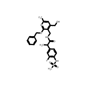 CC(C(=O)NCc1c(CO)cc(C(F)(F)F)nc1OCc1ccccc1)c1ccc(NS(C)(=O)=O)c(F)c1